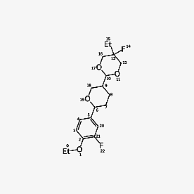 CCOc1ccc(C2CCC(C3OCC(F)(CC)CO3)CO2)cc1F